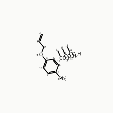 C=CCOc1cc[c]([Pb])cc1.CC(=O)O.CC(=O)O.CC(=O)O